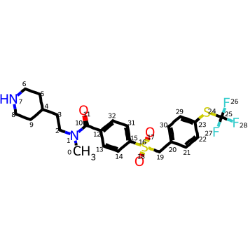 CN(CCC1CCNCC1)C(=O)c1ccc(S(=O)(=O)Cc2ccc(SC(F)(F)F)cc2)cc1